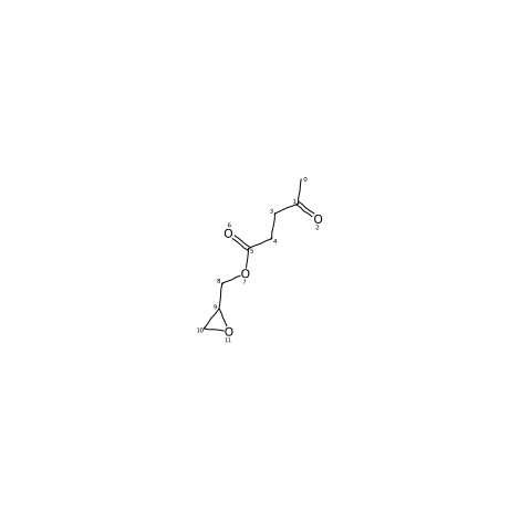 CC(=O)CCC(=O)OCC1CO1